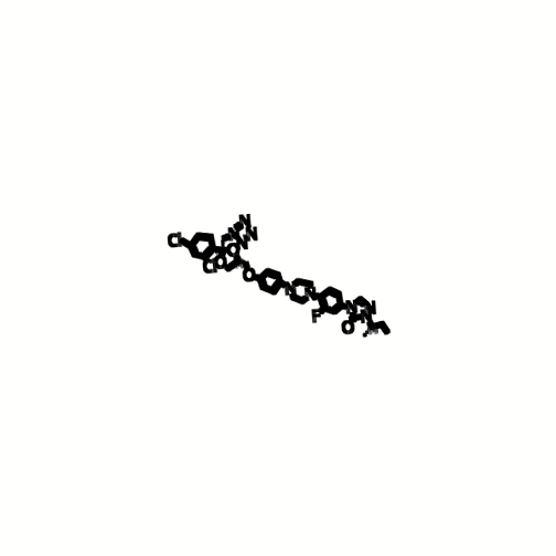 CC[C@H](C)n1ncn(-c2ccc(N3CCN(c4ccc(OC[C@@H]5CO[C@@](Cn6cnnn6)(c6ccc(Cl)cc6Cl)O5)cc4)CC3)c(F)c2)c1=O